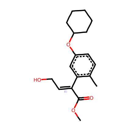 COC(=O)/C(=C/CO)c1cc(OC2CCCCC2)ccc1C